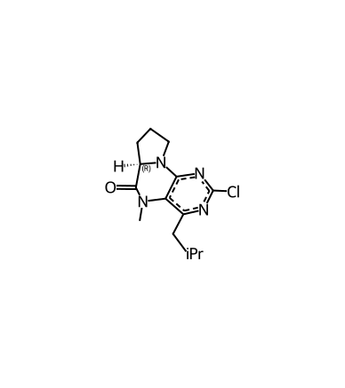 CC(C)Cc1nc(Cl)nc2c1N(C)C(=O)[C@H]1CCCN21